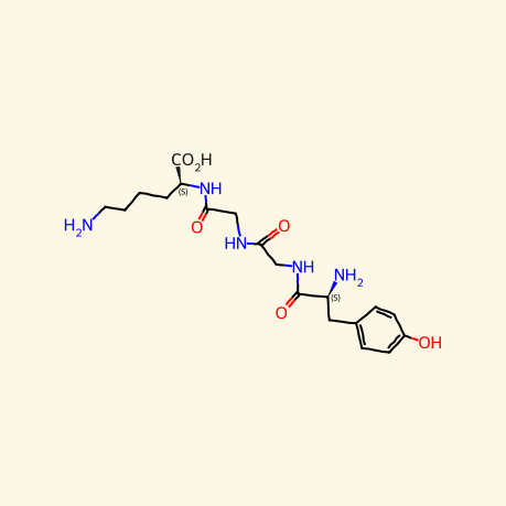 NCCCC[C@H](NC(=O)CNC(=O)CNC(=O)[C@@H](N)Cc1ccc(O)cc1)C(=O)O